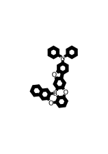 c1ccc(N(c2ccccc2)c2ccc3c(c2)oc2cc4c(cc23)Oc2cccc3c2B4c2cc4ccccc4cc2O3)cc1